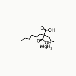 CCCCCCC(CCC)(C(=O)O)C(=O)O.[MgH2]